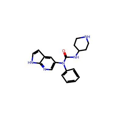 O=C(NC1CCNCC1)N(c1ccccc1)c1cnc2[nH]ccc2c1